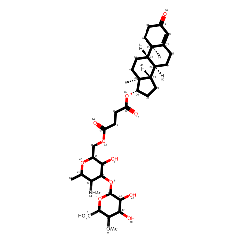 COC1C(C(=O)O)OC(OC2C(O)C(COC(=O)CCC(=O)O[C@H]3CC[C@H]4[C@@H]5CCC6=CC(=O)CC[C@]6(C)[C@H]5CC[C@]34C)OC(C)C2NC(C)=O)C(O)C1O